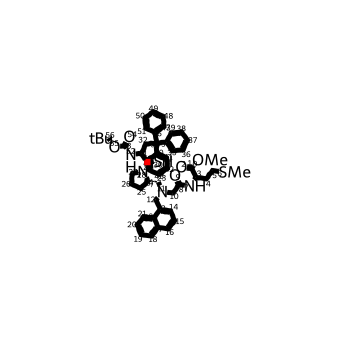 COC(=O)C(CCSC)NC(=O)CN(Cc1cccc2ccccc12)C[C@@H]1CCCN1C(S)C(CC(c1ccccc1)(c1ccccc1)c1ccccc1)NC(=O)OC(C)(C)C